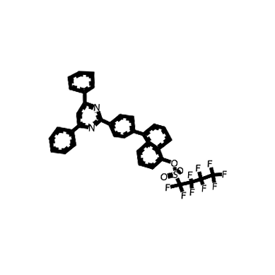 O=S(=O)(Oc1cccc2c(-c3ccc(-c4nc(-c5ccccc5)cc(-c5ccccc5)n4)cc3)cccc12)C(F)(F)C(F)(F)C(F)(F)C(F)(F)F